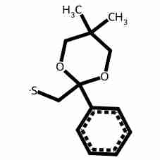 CC1(C)COC(C[S])(c2ccccc2)OC1